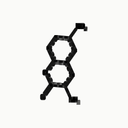 Nc1cc2cc([N+](=O)[O-])ccc2oc1=O